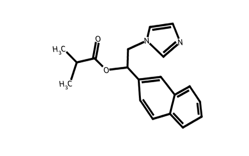 CC(C)C(=O)OC(Cn1ccnc1)c1ccc2ccccc2c1